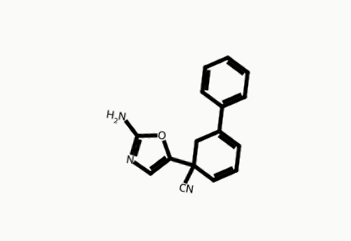 N#CC1(c2cnc(N)o2)C=CC=C(c2ccccc2)C1